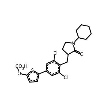 O=C(O)Oc1ccc(-c2cc(Cl)c(CC3CCN(C4CCCCC4)C3=O)c(Cl)c2)s1